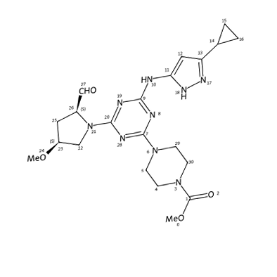 COC(=O)N1CCN(c2nc(Nc3cc(C4CC4)n[nH]3)nc(N3C[C@@H](OC)C[C@H]3C=O)n2)CC1